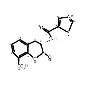 O=C(N[C@H]1Cc2cccc(C(=O)O)c2OB1O)c1cncs1